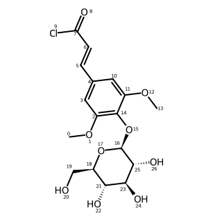 COc1cc(/C=C/C(=O)Cl)cc(OC)c1O[C@@H]1O[C@H](CO)[C@@H](O)[C@H](O)[C@H]1O